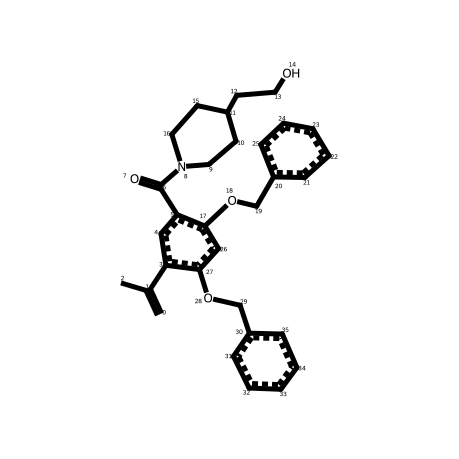 C=C(C)c1cc(C(=O)N2CCC(CCO)CC2)c(OCc2ccccc2)cc1OCc1ccccc1